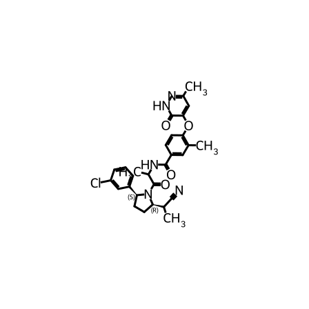 Cc1cc(Oc2ccc(C(=O)NC(C)C(=O)N3[C@@H](C(C)C#N)CC[C@H]3c3cccc(Cl)c3)cc2C)c(=O)[nH]n1